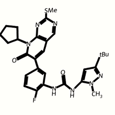 CSc1ncc2cc(-c3ccc(F)c(NC(=O)Nc4cc(C(C)(C)C)nn4C)c3)c(=O)n(C3CCCC3)c2n1